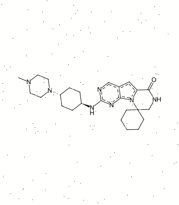 CN1CCN([C@H]2CC[C@H](Nc3ncc4cc5n(c4n3)C3(CCCCC3)CNC5=O)CC2)CC1